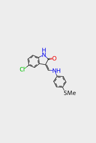 CSc1ccc(NC=C2C(=O)Nc3ccc(Cl)cc32)cc1